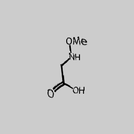 CONCC(=O)O